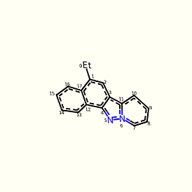 CCc1cc2c(nn3ccccc23)c2ccccc12